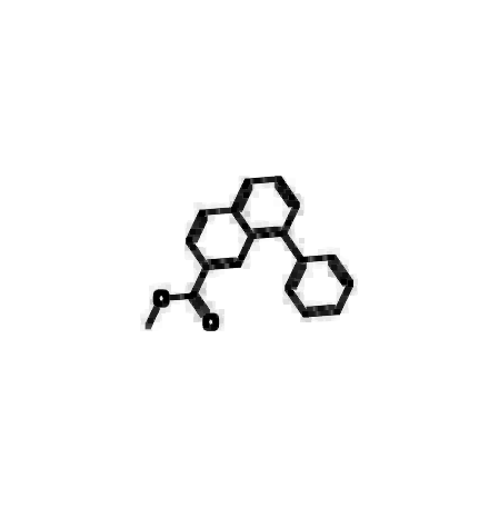 COC(=O)c1ccc2cccc(-c3ccccc3)c2c1